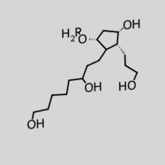 OCCCCCC(O)CCC1[C@@H](CCCO)[C@@H](O)C[C@H]1OP